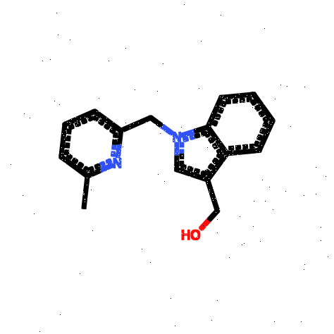 Cc1cccc(Cn2cc(CO)c3ccccc32)n1